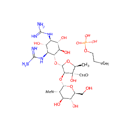 CCCCCCCCCCCCOP(=O)(O)O.CN[C@@H]1[C@H](O[C@H]2[C@H](O[C@H]3[C@H](O)[C@@H](O)[C@H](NC(=N)N)[C@@H](O)[C@@H]3NC(=N)N)O[C@@H](C)[C@]2(O)C=O)O[C@@H](CO)[C@H](O)[C@H]1O